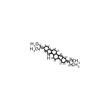 CCN(CC)c1ccc2c(c1)[nH]c1c2ccc2c1ccc1c3ccc(N(CC)CC)cc3sc12